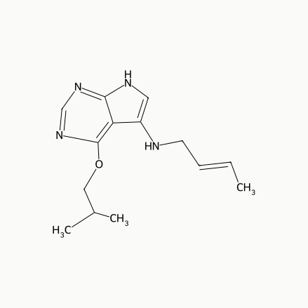 C/C=C/CNc1c[nH]c2ncnc(OCC(C)C)c12